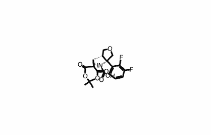 CC1(C)OC(=O)C(C[C@@H]2COC[C@@]2(NC(=O)O)c2cccc(F)c2F)C(=O)O1